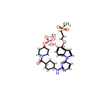 CCOP(=O)(O)OC1CCN(C(=O)C2CCC(Nc3nccc(-n4ccc5c(OCCCS(C)(=O)=O)cccc54)n3)CC2)CC1